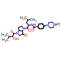 CC(C)CC(NC(=O)c1ccc(N2CCN(C)CC2)cc1)C(=O)N1CCC2C1C(=O)CN2C(=O)C(O)C(C)C